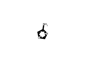 Nc1[c]ocn1